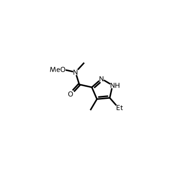 CCc1[nH]nc(C(=O)N(C)OC)c1C